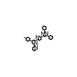 Cc1ccc(-c2cc(-c3ccccn3)nc(-c3ccc(-c4cc(-c5ccccc5)nc(-c5ccccc5)n4)cn3)c2)cc1